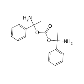 CC(N)(OC(=O)OC(C)(N)c1ccccc1)c1ccccc1